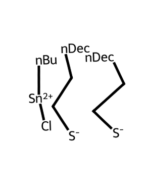 CCCCCCCCCCCC[S-].CCCCCCCCCCCC[S-].CCC[CH2][Sn+2][Cl]